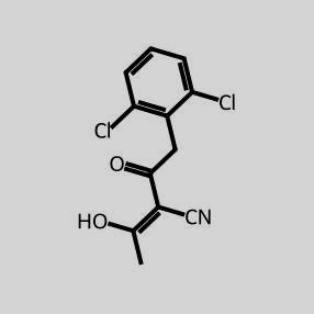 C/C(O)=C(\C#N)C(=O)Cc1c(Cl)cccc1Cl